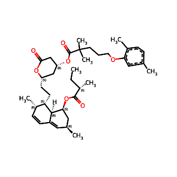 CC[C@H](C)C(=O)O[C@H]1C[C@@H](C)C=C2C=C[C@H](C)[C@H](CC[C@H]3C[C@@H](OC(=O)C(C)(C)CCCOc4cc(C)ccc4C)CC(=O)O3)[C@H]21